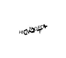 CC(C)(C)OCC(F)(F)COc1ccc(N2CCNCC2)nc1